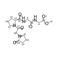 COC(=O)CNC(=O)CNC(=O)[C@@H]1CCCN1C(=O)CN1CCCC1=O